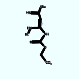 CCN/C(=C\C(=N)C(C)(C)C)NC(=O)OCC(Cl)(Cl)Cl